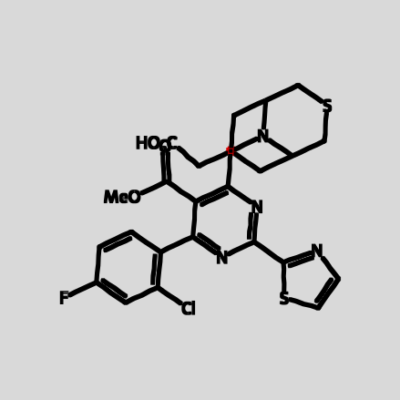 COC(=O)c1c(CN2C3CSCC2CC(CC(=O)O)C3)nc(-c2nccs2)nc1-c1ccc(F)cc1Cl